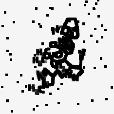 Cn1cc(-c2cc(-c3ccc(N4C5CC[C@@H]4C[C@H](NC(=O)OC(C)(C)C)C5)nc3)c3c(C#N)cnn3c2)cn1